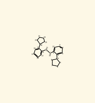 c1ccc(C2CCCC2)c(SSc2ccccc2C2CCCC2)c1